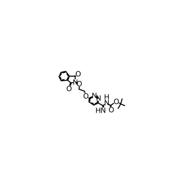 CC(C)(C)OC(=O)NC(=N)c1ccc(OCCON2C(=O)c3ccccc3C2=O)nn1